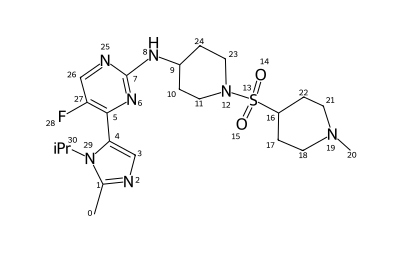 Cc1ncc(-c2nc(NC3CCN(S(=O)(=O)C4CCN(C)CC4)CC3)ncc2F)n1C(C)C